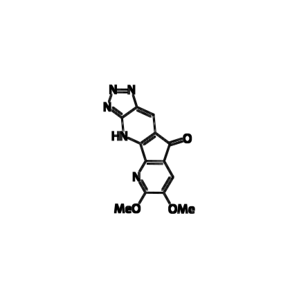 COc1cc2c(nc1OC)-c1[nH]c3nnnc-3cc1C2=O